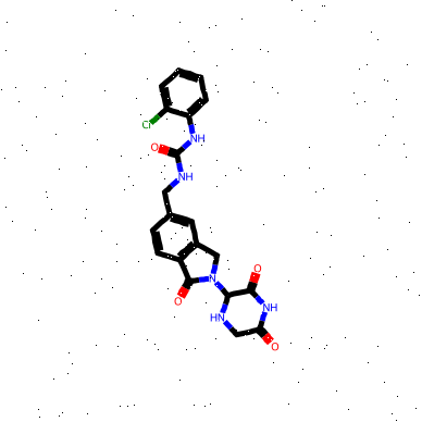 O=C1CNC(N2Cc3cc(CNC(=O)Nc4ccccc4Cl)ccc3C2=O)C(=O)N1